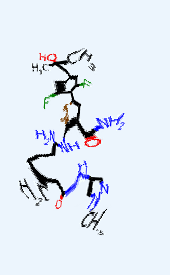 C=C(/C=C\C=C(/N)Nc1sc(-c2c(F)cc(C(C)(C)O)cc2F)cc1C(N)=O)CC(=O)Nc1cnn(C)c1